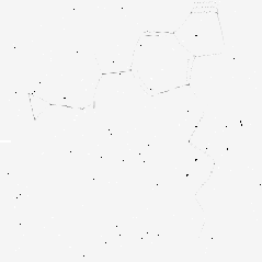 COCCCOc1cc(C(C)NC2CC2)cc2c#coc12